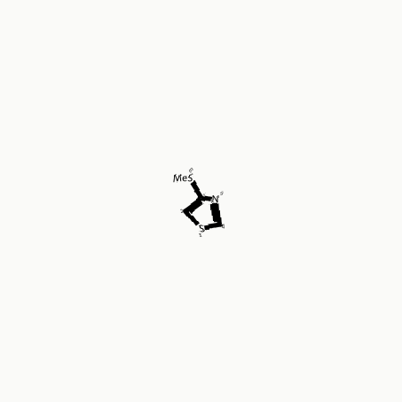 CSc1cscn1